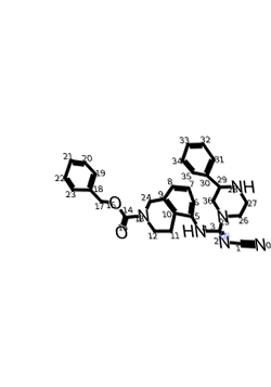 N#C/N=C(/Nc1cccc2c1CCN(C(=O)OCc1ccccc1)C2)N1CCNC(c2ccccc2)C1